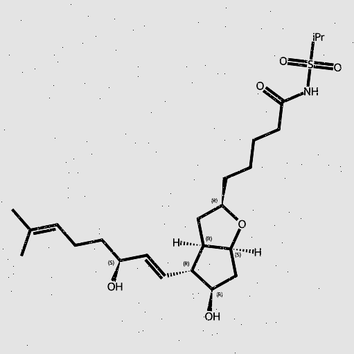 CC(C)=CCC[C@H](O)C=C[C@@H]1[C@H]2C[C@@H](CCCCC(=O)NS(=O)(=O)C(C)C)O[C@H]2C[C@H]1O